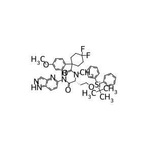 COc1ccc(C2(C(=O)N(C)[C@H](CCO[Si](c3ccccc3)(c3ccccc3)C(C)(C)C)C(=O)Nc3ccc4[nH]ncc4n3)CCC(F)(F)CC2)cc1